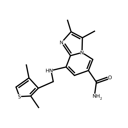 Cc1csc(C)c1CNc1cc(C(N)=O)cn2c(C)c(C)nc12